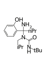 CCCC(N)(c1ccccc1O)N(CC(C)C)C(=O)NC(C)(C)C